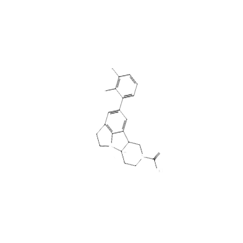 O=C(O)N1CC[C@@H]2[C@H](C1)c1cc(-c3cccc(Cl)c3Cl)cc3c1N2CC3